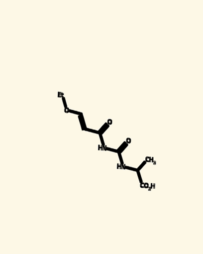 CCO/C=C/C(=O)NC(=O)NC(C)C(=O)O